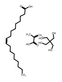 C=C(C)C(=O)O.CCCCCCCC/C=C\CCCCCCCC(=O)O.OCC(CO)(CO)CO